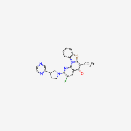 CCOC(=O)c1c(=O)c2cc(F)c(N3CCC(c4cnccn4)C3)nc2n2c1sc1ccccc12